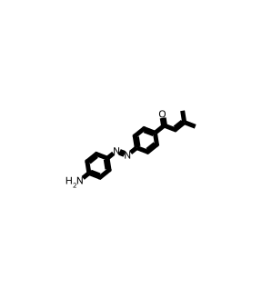 CC(C)=CC(=O)c1ccc(/N=N/c2ccc(N)cc2)cc1